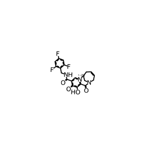 C[C@]12CC=CCN(C1)C(=O)c1c(O)c(=O)c(C(=O)NCc3c(F)cc(F)cc3F)cn12